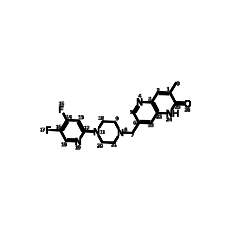 Cc1cc2ncc(CN3CCN(c4cc(F)c(F)cn4)CC3)cc2[nH]c1=O